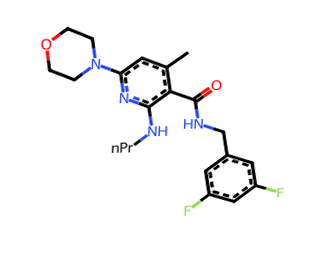 CCCNc1nc(N2CCOCC2)cc(C)c1C(=O)NCc1cc(F)cc(F)c1